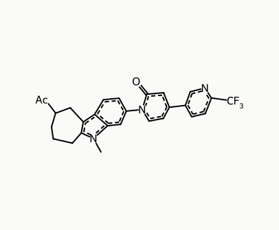 CC(=O)C1CCCc2c(c3ccc(-n4ccc(-c5ccc(C(F)(F)F)nc5)cc4=O)cc3n2C)C1